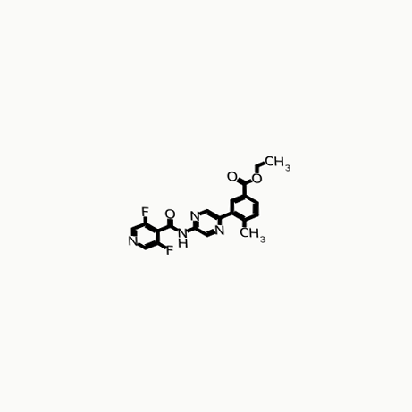 CCOC(=O)c1ccc(C)c(-c2cnc(NC(=O)c3c(F)cncc3F)cn2)c1